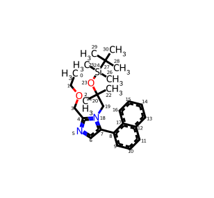 CCOCc1ncc(-c2cccc3ccccc23)n1CC(C)(C)O[Si](C)(C)C(C)(C)C